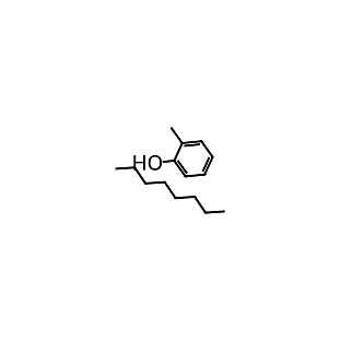 CCCCCCCC.Cc1ccccc1O